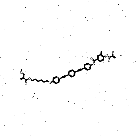 C=C(F)C(=O)Oc1ccc(C(=O)Sc2ccc(C#Cc3ccc(C#Cc4ccc(OCCCCCCOC(=O)C(=C)COC)cc4)cc3)cc2)cc1C